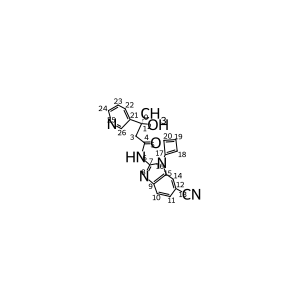 C[C@](O)(CC(=O)Nc1nc2ccc(C#N)cc2n1C1=CC=C1)c1cccnc1